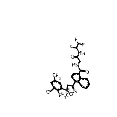 O=C(CNC(=O)c1ccc(C2=NO[C@](c3cc(C(F)(F)F)cc(Cl)c3F)(C(F)(F)F)C2)c2ccccc12)NC(F)C(F)F